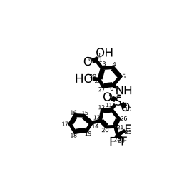 O=C(O)c1ccc(NS(=O)(=O)c2cc(-c3ccccc3)cc(C(F)(F)F)c2)cc1O